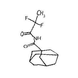 CC(F)(F)C(=O)NC(=O)C12CC3CC(CC(C3)C1)C2